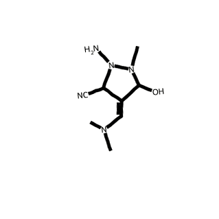 CN(C)C=C1C(O)N(C)N(N)C1C#N